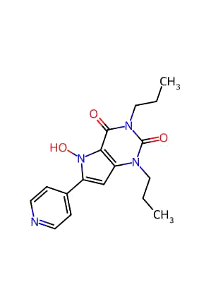 CCCn1c(=O)c2c(cc(-c3ccncc3)n2O)n(CCC)c1=O